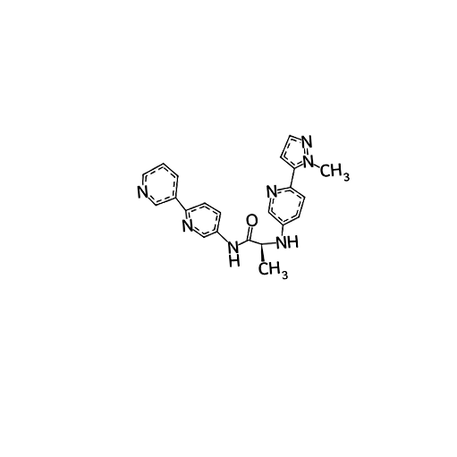 C[C@H](Nc1ccc(-c2ccnn2C)nc1)C(=O)Nc1ccc(-c2cccnc2)nc1